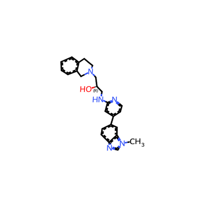 Cn1cnc2ccc(-c3ccnc(NC[C@@H](O)CN4CCc5ccccc5C4)c3)cc21